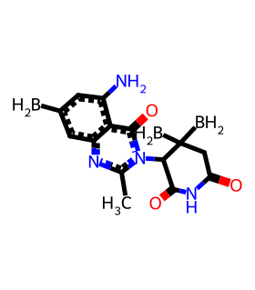 Bc1cc(N)c2c(=O)n(C3C(=O)NC(=O)CC3(B)B)c(C)nc2c1